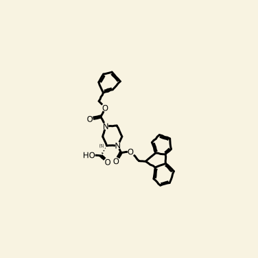 O=C(O)[C@@H]1CN(C(=O)OCc2ccccc2)CCN1C(=O)OCC1c2ccccc2-c2ccccc21